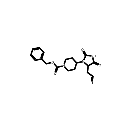 O=CCC1C(=O)NC(=O)N1C1CCN(C(=O)OCc2ccccc2)CC1